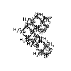 CC1=Cc2cc3[nH]c(cc4nc(cc5[nH]c(cc1n2)cc5C)C(C)=C4CCC(=O)[O-])c(CCC(=O)[O-])c3C.CC1=Cc2cc3[nH]c(cc4nc(cc5[nH]c(cc1n2)cc5C)C(C)=C4CCC(=O)[O-])c(CCC(=O)[O-])c3C.CC1=Cc2cc3[nH]c(cc4nc(cc5[nH]c(cc1n2)cc5C)C(C)=C4CCC(=O)[O-])c(CCC(=O)[O-])c3C.[Fe+3].[Fe+3]